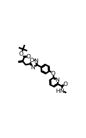 C=C(Cc1nc(-c2ccc(Oc3cccc(C(=O)NC)n3)cc2)no1)C(=O)OC(C)(C)C